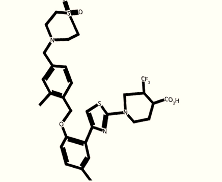 Cc1ccc(OCc2ccc(CN3CCS(=O)(=O)CC3)cc2C)c(-c2csc(N3CCC(C(=O)O)C(C(F)(F)F)C3)n2)c1